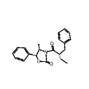 CC[C@@H](Cc1ccccc1)C(=O)N1C(=O)O[C@@H](c2ccccc2)[C@H]1C